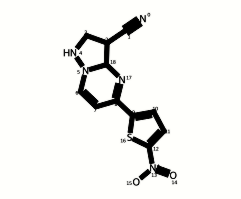 N#CC1CNN2C=CC(c3ccc([N+](=O)[O-])s3)=NC12